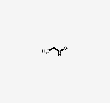 CCN[O]